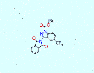 CC(C)(C)OC(=O)n1nc(N2C(=O)c3ccccc3C2=O)c2cc(C(F)(F)F)ccc21